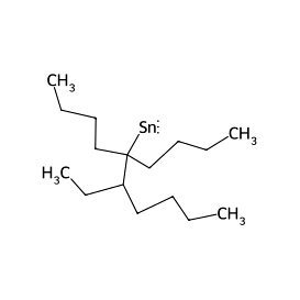 CCCCC(CC)[C]([Sn])(CCCC)CCCC